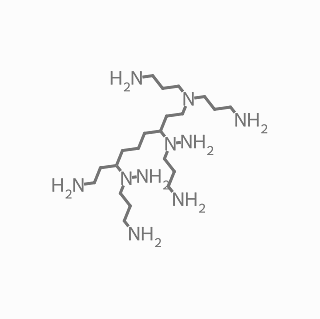 NCCCN(CCCN)CCC(CCCC(CCN)N(N)CCCN)N(N)CCCN